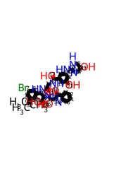 CC(C)(C)c1cc(Br)cc(C(NC(=O)CNC(O)c2cc(O)cc(NC3=NCC(O)CN3)c2)C(NC(O)C2=Nc3ccccc3C2O)C(=O)O)c1